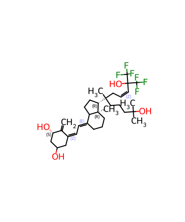 C=C1/C(=C\C=C2/CCC[C@@]3(C)C2CC[C@@H]3C(C)(C/C=C\C(O)(C(F)(F)F)C(F)(F)F)CCCC(C)(C)O)CC(O)C[C@@H]1O